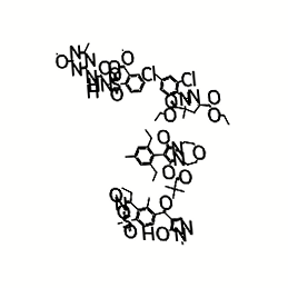 CCOC(=O)C1=NN(c2ccc(Cl)cc2Cl)C(C)(C(=O)OCC)C1.CCc1cc(C)cc(CC)c1-c1c(OC(=O)C(C)(C)C)n2n(c1=O)CCOCC2.COC(=O)c1ccccc1S(=O)(=O)NC(=O)Nc1nc(C)nc(OC)n1.Cc1c(C(=O)c2cnn(C)c2O)ccc(S(C)(=O)=O)c1C1=NOCC1